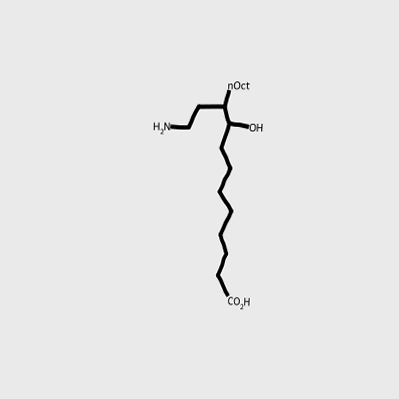 CCCCCCCCC(CCN)C(O)CCCCCCCC(=O)O